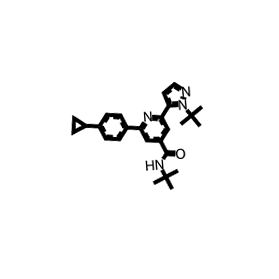 CC(C)(C)NC(=O)c1cc(-c2ccc(C3CC3)cc2)nc(-c2ccnn2C(C)(C)C)c1